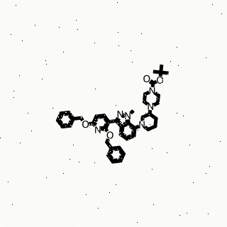 Cn1nc(-c2ccc(OCc3ccccc3)nc2OCc2ccccc2)c2cccc(N3CCCC(N4CCN(C(=O)OC(C)(C)C)CC4)C3)c21